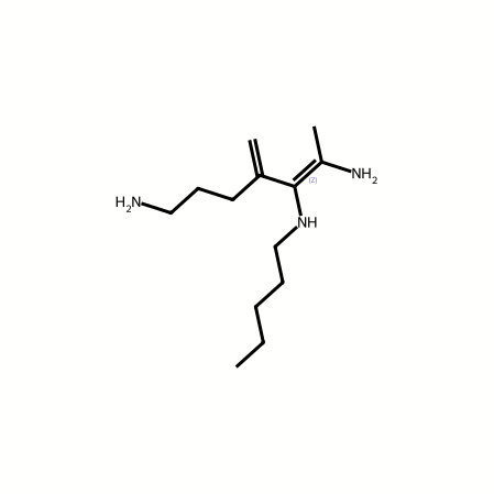 C=C(CCCN)/C(NCCCCC)=C(\C)N